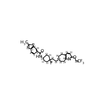 Cc1nc2ccc(C(=O)N[C@H]3CC[C@](F)(CCN4CCc5ccc(OCC(F)(F)F)nc5CC4)CC3)cc2s1